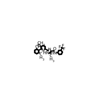 COc1ccc(-c2nc(C(=O)Nc3cccc(C(F)(F)F)c3)c(C)[nH]2)nc1-c1c(C)cccc1C